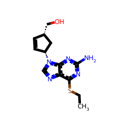 CCSc1nc(N)nc2c1ncn2[C@@H]1C=C[C@H](CO)C1